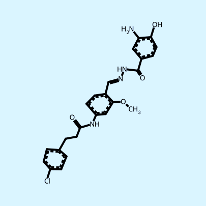 COc1cc(NC(=O)CCc2ccc(Cl)cc2)ccc1/C=N/NC(=O)c1ccc(O)c(N)c1